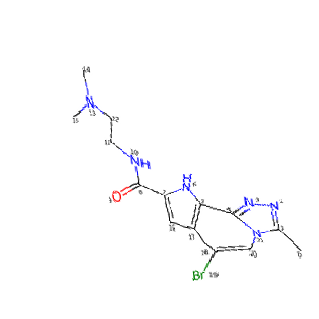 Cc1nnc2c3[nH]c(C(=O)NCCN(C)C)cc3c(Br)cn12